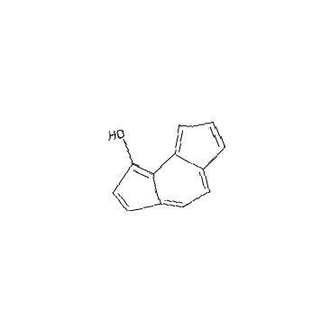 OC1=c2c(ccc3c2=CC=C3)C=C1